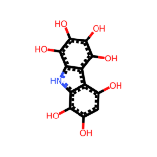 Oc1cc(O)c2c([nH]c3c(O)c(O)c(O)c(O)c32)c1O